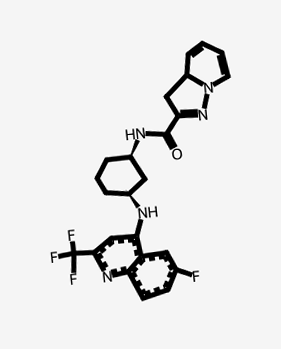 O=C(N[C@@H]1CCC[C@H](Nc2cc(C(F)(F)F)nc3ccc(F)cc23)C1)C1=NN2C=CC=CC2C1